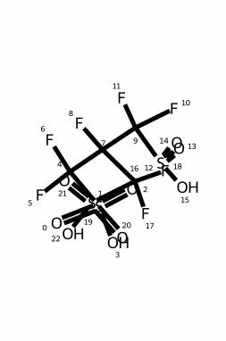 O=S(=O)(O)C(F)(F)C(F)(C(F)(F)S(=O)(=O)O)C(F)(F)S(=O)(=O)O